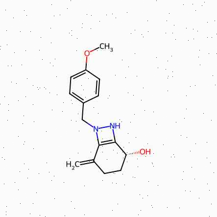 C=C1CC[C@@H](O)c2[nH]n(Cc3ccc(OC)cc3)c21